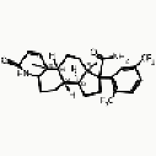 C[C@]12C=CC(=O)NC1CC[C@@H]1[C@H]2CC[C@@]2(C)[C@H]1CCC2(C(N)=O)c1cc(C(F)(F)F)ccc1C(F)(F)F